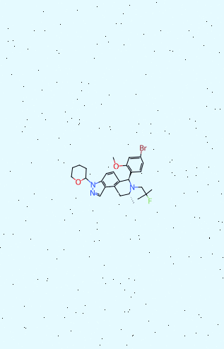 COc1cc(Br)ccc1[C@@H]1c2ccc3c(cnn3C3CCCCO3)c2C[C@@H](C)N1CC(C)(C)F